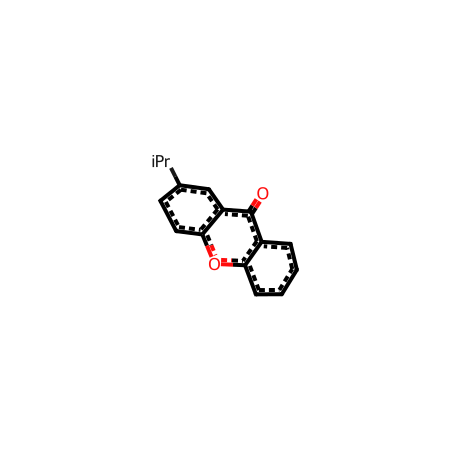 CC(C)c1ccc2oc3ccccc3c(=O)c2c1